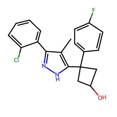 Cc1c(-c2ccccc2Cl)n[nH]c1C1(c2ccc(F)cc2)CC(O)C1